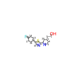 OCCc1ccnc(-c2ncc(-c3ccc(F)cc3)s2)c1